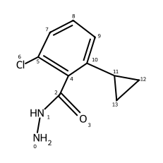 NNC(=O)c1c(Cl)cccc1C1CC1